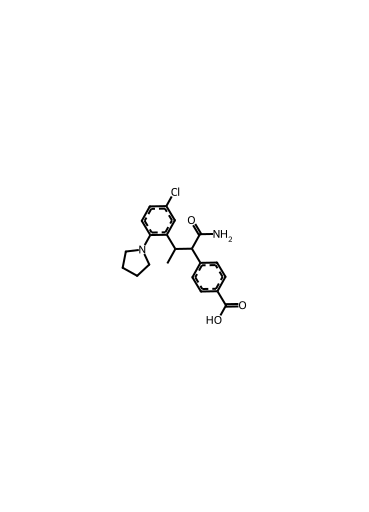 CC(c1cc(Cl)ccc1N1CCCC1)C(C(N)=O)c1ccc(C(=O)O)cc1